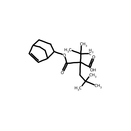 CC(C)(C)CC(C(=O)O)(C(=O)OC1CCC2C=CC1CC2)C(C)(C)C